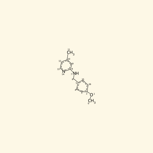 COc1ccc(CNc2cc(C)ccn2)cc1